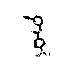 N#Cc1cccc(NC(=O)c2ccc(B(O)O)cc2)n1